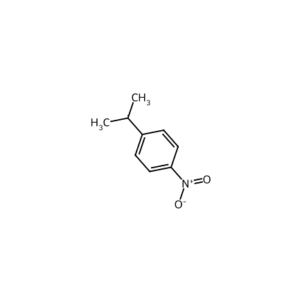 C[C](C)c1ccc([N+](=O)[O-])cc1